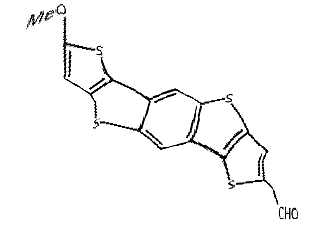 COc1cc2sc3cc4c(cc3c2s1)sc1cc(C=O)sc14